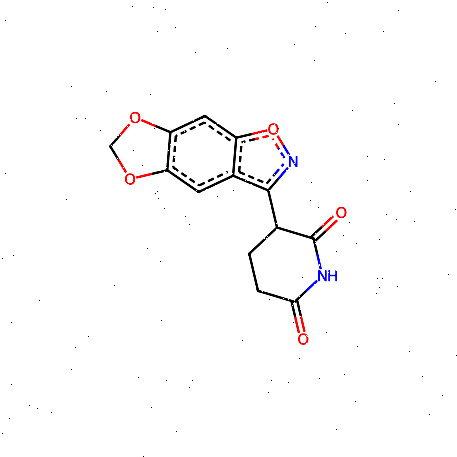 O=C1CCC(c2noc3cc4c(cc23)OCO4)C(=O)N1